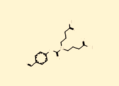 O=Cc1ccc(OC(=O)N(CCCC(=O)O)CCCC(=O)O)cc1